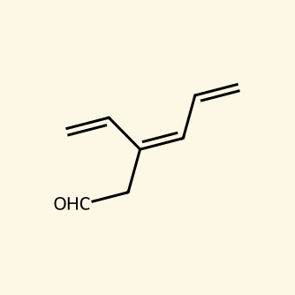 C=C/C=C(\C=C)CC=O